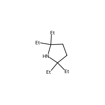 CCC1(CC)CCC(CC)(CC)N1